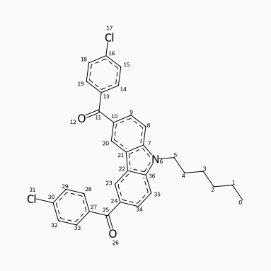 CCCCCCn1c2ccc(C(=O)c3ccc(Cl)cc3)cc2c2cc(C(=O)c3ccc(Cl)cc3)ccc21